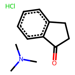 CN(C)C.Cl.O=C1CCc2ccccc21